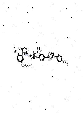 COc1ccc(C(C)C)c(N2C(=O)CS/C2=N\C(=O)Nc2ccc(-c3ncn(-c4ccc(C(F)(F)F)cn4)n3)cc2C)c1